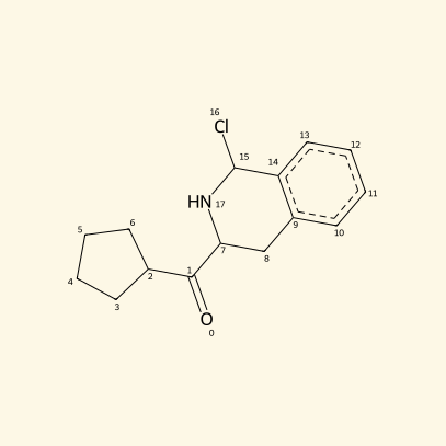 O=C(C1CCCC1)C1Cc2ccccc2C(Cl)N1